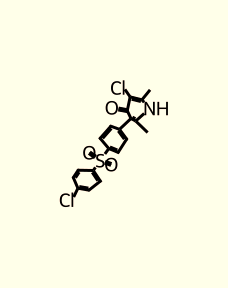 Cc1[nH]c(C)c(-c2ccc(S(=O)(=O)c3ccc(Cl)cc3)cc2)c(=O)c1Cl